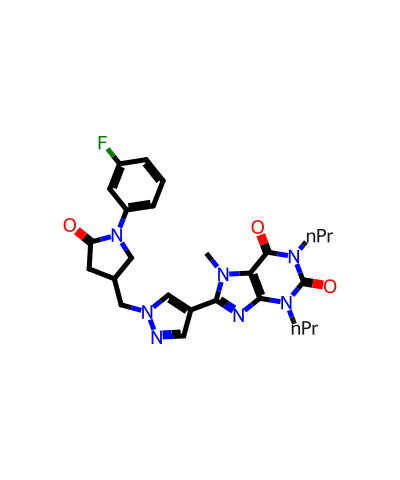 CCCn1c(=O)c2c(nc(-c3cnn(CC4CC(=O)N(c5cccc(F)c5)C4)c3)n2C)n(CCC)c1=O